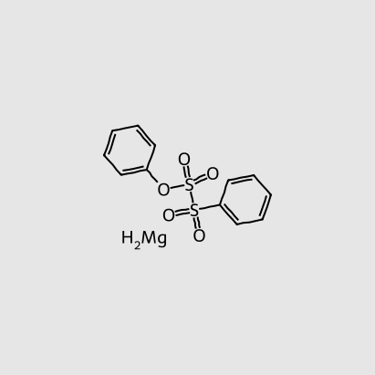 O=S(=O)(Oc1ccccc1)S(=O)(=O)c1ccccc1.[MgH2]